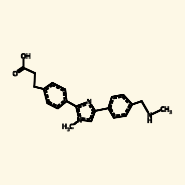 CNCc1ccc(-c2cn(C)c(-c3ccc(CCC(=O)O)cc3)n2)cc1